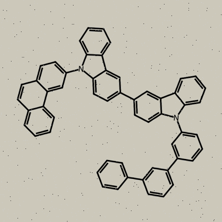 c1ccc(-c2cccc(-c3cccc(-n4c5ccccc5c5cc(-c6ccc7c(c6)c6ccccc6n7-c6ccc7ccc8ccccc8c7c6)ccc54)c3)c2)cc1